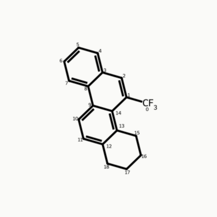 FC(F)(F)c1cc2ccccc2c2ccc3c(c12)CCCC3